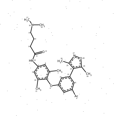 CC(=O)c1cc(Oc2c(C)cc(NC(=O)CCCN(C)C)cc2C)cc(-c2c(C)noc2C)c1